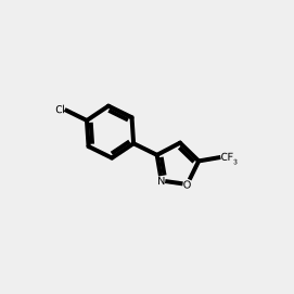 FC(F)(F)c1cc(-c2ccc(Cl)cc2)no1